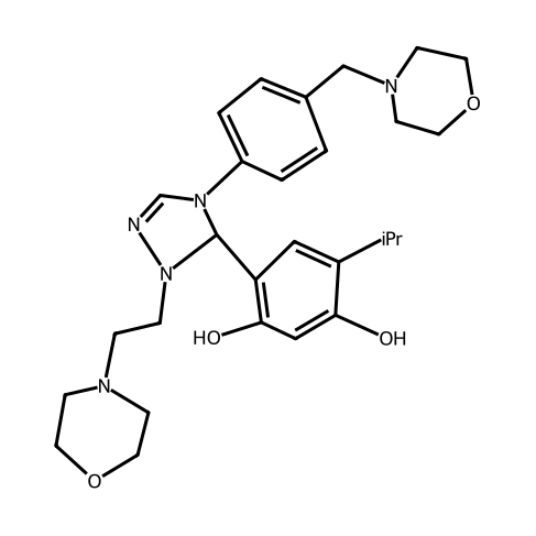 CC(C)c1cc(C2N(CCN3CCOCC3)N=CN2c2ccc(CN3CCOCC3)cc2)c(O)cc1O